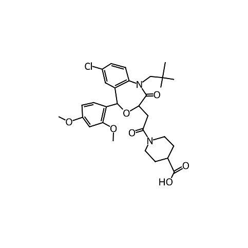 COc1ccc(C2OC(CC(=O)N3CCC(C(=O)O)CC3)C(=O)N(CC(C)(C)C)c3ccc(Cl)cc32)c(OC)c1